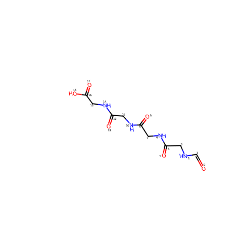 O=CNCC(=O)NCC(=O)NCC(=O)NCC(=O)O